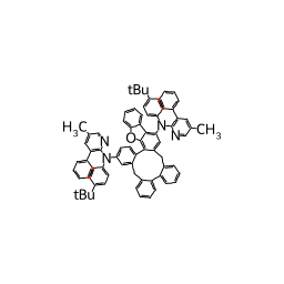 Cc1cnc(N(c2ccc(C(C)(C)C)cc2)c2ccc3c(c2)Cc2ccccc2-c2ccccc2Cc2cc(N(c4ccc(C(C)(C)C)cc4)c4ncc(C)cc4-c4ccccc4)c4c(oc5ccccc54)c2-3)c(-c2ccccc2)c1